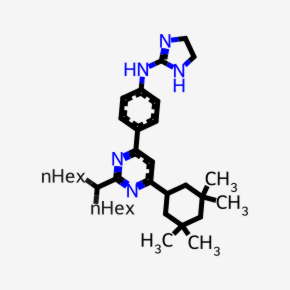 CCCCCCC(CCCCCC)c1nc(-c2ccc(NC3=NCCN3)cc2)cc(C2CC(C)(C)CC(C)(C)C2)n1